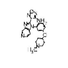 CN1CCC(Oc2cccc(-n3c(-c4nonc4N)nc4cnccc43)c2)CC1